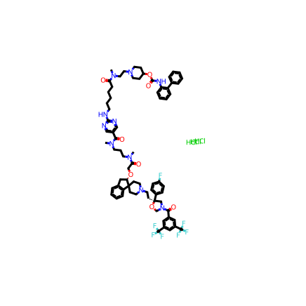 CN(CCN1CCC(OC(=O)Nc2ccccc2-c2ccccc2)CC1)C(=O)CCCCCNc1ncc(C(=O)N(C)CCCN(C)C(=O)CO[C@H]2Cc3ccccc3C23CCN(CC[C@]2(c4ccc(F)cc4)CN(C(=O)c4cc(C(F)(F)F)cc(C(F)(F)F)c4)CO2)CC3)cn1.Cl.Cl.Cl